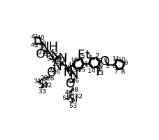 CCc1cc(OCc2ccccc2)c(F)cc1-c1ccc2c(-c3nc4c(n3COCC[Si](C)(C)C)CN(C(=O)NC3CCC3)C4)nn(COCC[Si](C)(C)C)c2c1